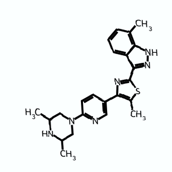 Cc1sc(-c2n[nH]c3c(C)cccc23)nc1-c1ccc(N2CC(C)NC(C)C2)nc1